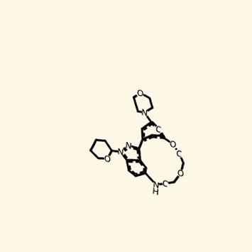 c1cc2c3cc1NCCOCCOc1cc(cc(N4CCOCC4)c1)-c3nn2C1CCCCO1